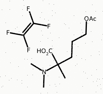 CC(=O)OCCCC(C)(C(=O)O)N(C)C.FC(F)=C(F)F